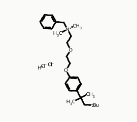 CC(C)(C)CC(C)(C)c1ccc(OCCOCC[N+](C)(C)Cc2ccccc2)cc1.[Cl-].[Cl-].[H+]